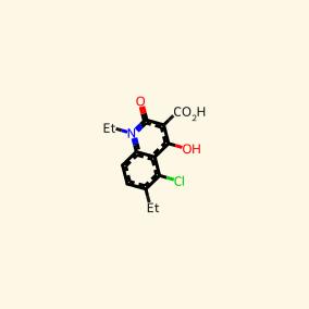 CCc1ccc2c(c(O)c(C(=O)O)c(=O)n2CC)c1Cl